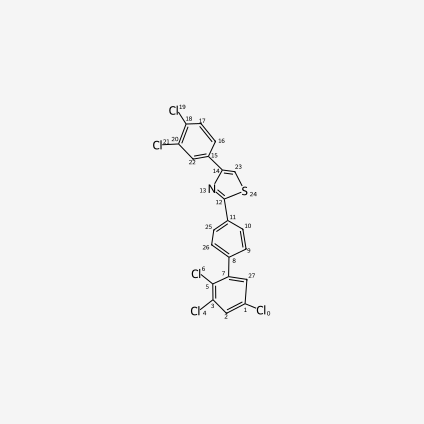 Clc1cc(Cl)c(Cl)c(-c2ccc(-c3nc(-c4ccc(Cl)c(Cl)c4)cs3)cc2)c1